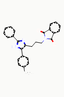 COc1ccc(-c2[nH]c(-c3ccccc3)nc2CCCN2C(=O)c3ccccc3C2=O)cc1